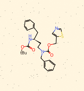 CC(C)(C)OC(=O)N[C@H](CCN(Cc1ccccc1)C(=O)OCc1cncs1)Cc1ccccc1